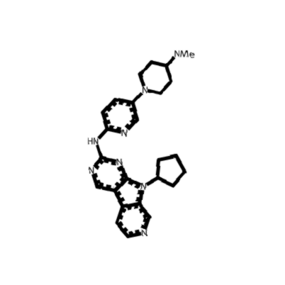 CNC1CCN(c2ccc(Nc3ncc4c5ccncc5n(C5CCCC5)c4n3)nc2)CC1